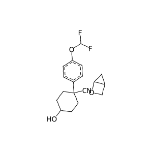 C1OC2CC12.N#CC1(c2ccc(OC(F)F)cc2)CCC(O)CC1